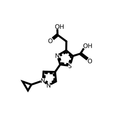 O=C(O)Cc1nc(-c2cnn(C3CC3)c2)sc1C(=O)O